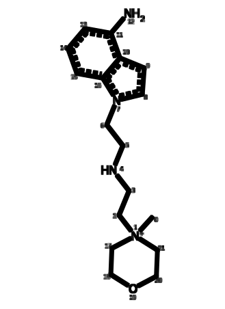 C[N+]1(CCNCCn2ccc3c(N)cccc32)CCOCC1